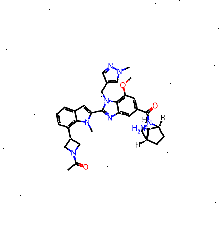 COc1cc(C(=O)N2C[C@H]3CC[C@@H]2[C@@H]3N)cc2nc(-c3cc4cccc(C5CN(C(C)=O)C5)c4n3C)n(Cc3cnn(C)c3)c12